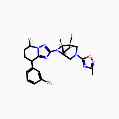 Cc1noc(N2C[C@@H]3CC[C@]4(C2)[C@H]3N4c2nc3n(n2)C(C(F)(F)F)CCC3c2cccc(C(F)(F)F)c2)n1